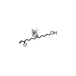 C=CC(=O)CCCCCCCCCCO.[Ga].[In].[Sn]